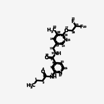 CCCC(=O)Nc1cc(C(=O)NCc2cnc(OCC(F)F)c(C)c2)ccn1